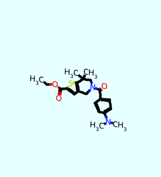 CCOC(=O)c1cc2c(s1)C(C)(C)CN(C(=O)c1ccc(N(C)C)cc1)C2